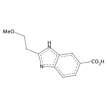 COCCc1nc2ccc(C(=O)O)cc2[nH]1